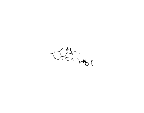 C=C(C)O/N=C(\C)C1CCC2(CC)C3CCC4CC(C)CCC4(C)C3(C)CCC12C